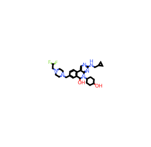 OC1CCC(N2c3nc(NCC4CC4)ncc3-c3ccc(CN4CCN(CC(F)F)CC4)cc3C2O)CC1